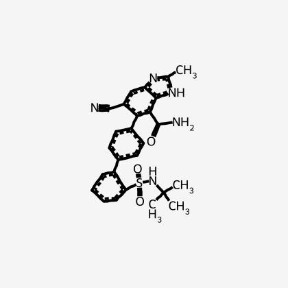 Cc1nc2cc(C#N)c(-c3ccc(-c4ccccc4S(=O)(=O)NC(C)(C)C)cc3)c(C(N)=O)c2[nH]1